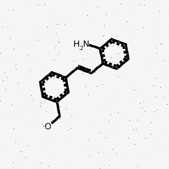 Nc1ccccc1C=Cc1cccc(C[O])c1